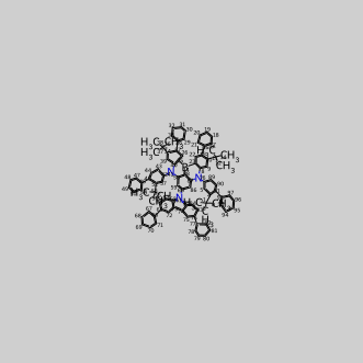 CC(C)(C)c1cc(N2c3cc(C(C)(C)C)c(-c4ccccc4)cc3B3c4cc(-c5ccccc5)c(C(C)(C)C)cc4N(c4ccc(-c5ccccc5)c(C(C)(C)C)c4)c4cc(-n5c6ccc(-c7ccccc7)cc6c6cc(-c7ccccc7)ccc65)cc2c43)ccc1-c1ccccc1